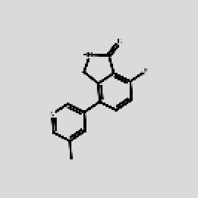 Cc1cncc(-c2ccc(F)c3c2CNC3=O)c1